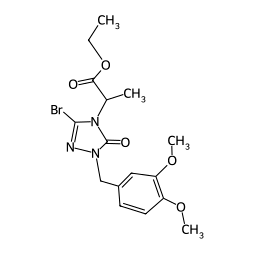 CCOC(=O)C(C)n1c(Br)nn(Cc2ccc(OC)c(OC)c2)c1=O